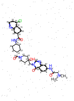 CN(C)CC(=O)Nc1ccc2c(=O)n(CC3(O)CCN(C(=O)[C@H]4CC[C@H](NC(=O)c5ccc6c(Cl)ccnc6c5)CC4)CC3)cnc2c1